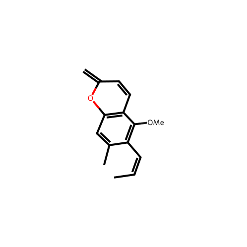 C=C1C=Cc2c(cc(C)c(/C=C\C)c2OC)O1